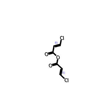 O=C(/C=C/Cl)OC(=O)/C=C/Cl